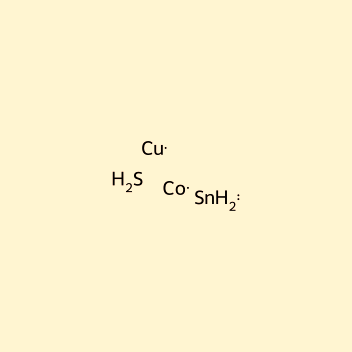 S.[Co].[Cu].[SnH2]